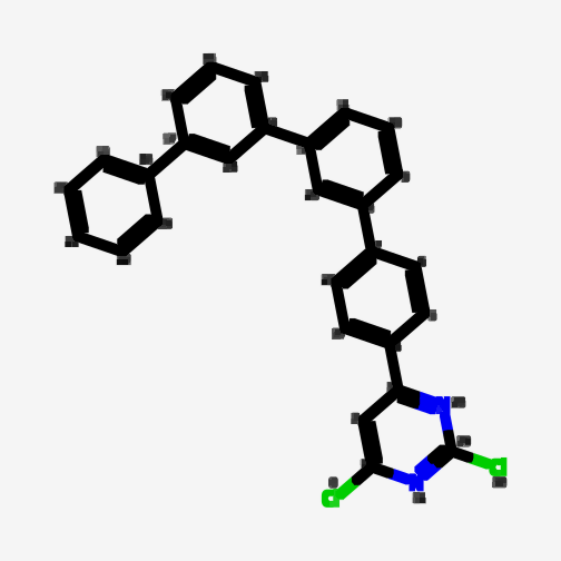 Clc1cc(-c2ccc(-c3cccc(-c4cccc(-c5ccccc5)c4)c3)cc2)nc(Cl)n1